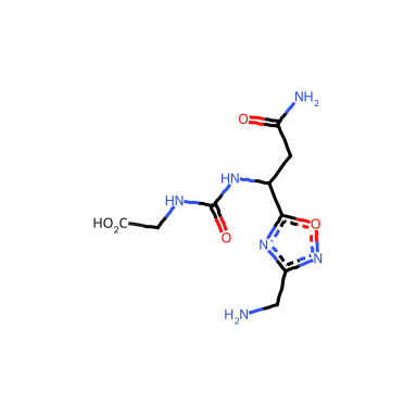 NCc1noc(C(CC(N)=O)NC(=O)NCC(=O)O)n1